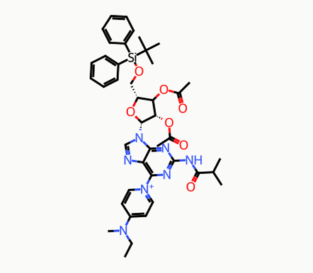 CCN(C)c1cc[n+](-c2nc(NC(=O)C(C)C)nc3c2ncn3[C@@H]2O[C@H](CO[Si](c3ccccc3)(c3ccccc3)C(C)(C)C)C(OC(C)=O)[C@@H]2OC(C)=O)cc1